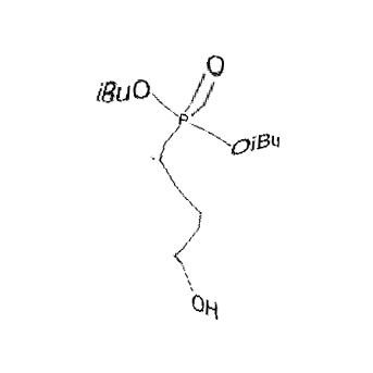 CC(C)COP(=O)([CH]CCO)OCC(C)C